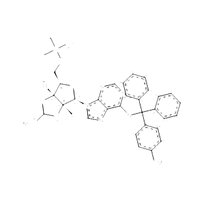 COc1ccc(C(Nc2ncnc3c2ncn3[C@@H]2O[C@H](CO[Si](C)(C)C(C)(C)C)[C@H]3OC(OC)O[C@]32C)(c2ccccc2)c2ccccc2)cc1